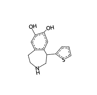 Oc1cc2c(cc1O)C(c1cccs1)CNCC2